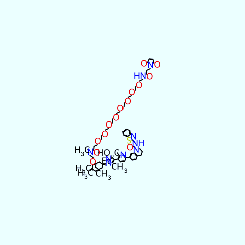 CCC1(Cn2ncc(-c3ccc(-c4ccc5c(c4)N(C(=O)Nc4nc6ccccc6s4)CCC5)nc3C(=O)O)c2C)CC2(C)CC(C)(C)CC(OCCN(C)C(=O)CCOCCOCCOCCOCCOCCOCCOCCOCCNC(=O)CCN3C(=O)C=CC3=O)(C2)C1